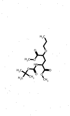 CCCOC(CC(NC(=O)OC(C)(C)C)C(=O)OC)C(=O)OC